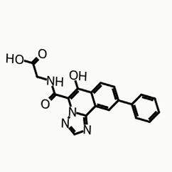 O=C(O)CNC(=O)c1c(O)c2ccc(-c3ccccc3)cc2c2ncnn12